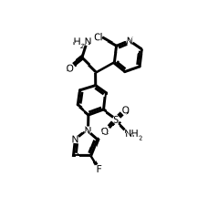 NC(=O)C(c1ccc(-n2cc(F)cn2)c(S(N)(=O)=O)c1)c1cccnc1Cl